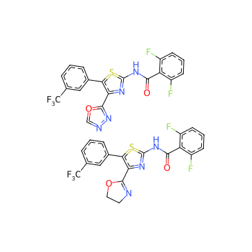 O=C(Nc1nc(-c2nnco2)c(-c2cccc(C(F)(F)F)c2)s1)c1c(F)cccc1F.O=C(Nc1nc(C2=NCCO2)c(-c2cccc(C(F)(F)F)c2)s1)c1c(F)cccc1F